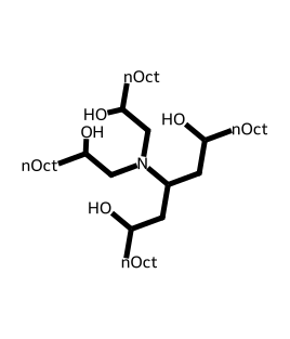 CCCCCCCCC(O)CC(CC(O)CCCCCCCC)N(CC(O)CCCCCCCC)CC(O)CCCCCCCC